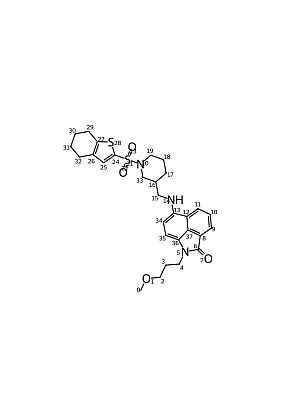 COCCCN1C(=O)c2cccc3c(NCC4CCCN(S(=O)(=O)c5cc6c(s5)CCCC6)C4)ccc1c23